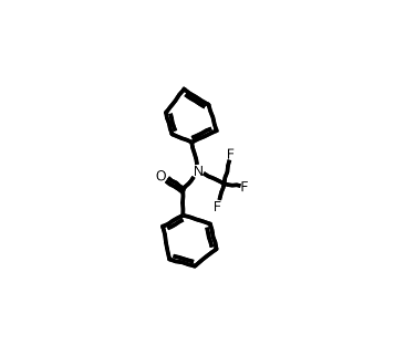 O=C(c1ccccc1)N(c1ccccc1)C(F)(F)F